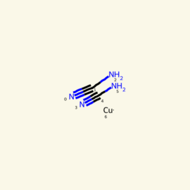 N#CN.N#CN.[Cu]